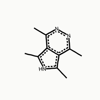 Cc1nnc(C)c2c(C)[nH]c(C)c12